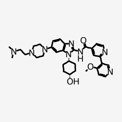 COc1ccncc1-c1cc(C(=O)Nc2nc3ccc(N4CCN(CCN(C)C)CC4)cc3n2[C@H]2CC[C@@H](O)CC2)ccn1